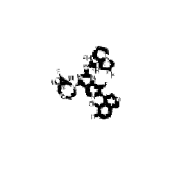 [2H]C([2H])(Oc1nc(N2CCOC[C@H]3[C@H](F)[C@H]32)c2cnc(-c3cncc4ccc(F)c(Cl)c34)c(F)c2n1)[C@@]12CCCN1C[C@H](F)C2